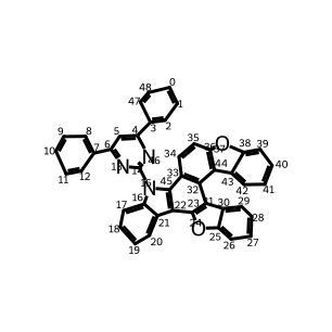 c1ccc(-c2cc(-c3ccccc3)nc(-n3c4ccccc4c4c5oc6ccccc6c5c5c(ccc6oc7ccccc7c65)c43)n2)cc1